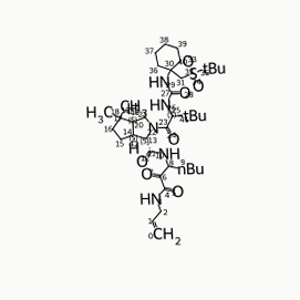 C=CCNC(=O)C(=O)C(CCCC)NC(=O)[C@@H]1[C@H]2CCC(C)(C)[C@H]2CN1C(=O)[C@@H](NC(=O)NC1(CS(=O)(=O)C(C)(C)C)CCCCC1)C(C)(C)C